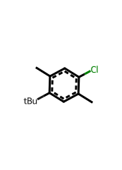 Cc1cc(C(C)(C)C)c(C)cc1Cl